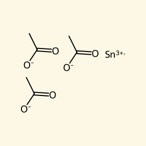 CC(=O)[O-].CC(=O)[O-].CC(=O)[O-].[Sn+3]